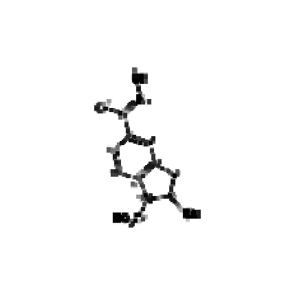 CC(C)(C)C1Cc2cc(C(Cl)=NO)ccc2N1C(=O)O